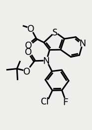 COC(=O)c1sc2cnccc2c1N(C(=O)OC(C)(C)C)c1ccc(F)c(Cl)c1